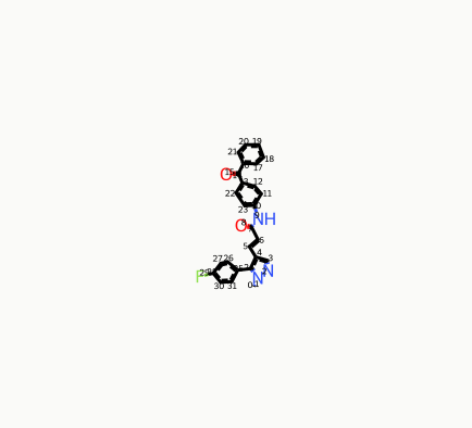 Cn1ncc(C=CC(=O)Nc2ccc(C(=O)c3ccccc3)cc2)c1-c1ccc(F)cc1